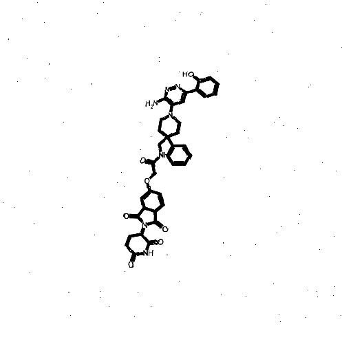 Nc1nnc(-c2ccccc2O)cc1N1CCC(CNC(=O)COC2=CC3C(=O)N(C4CCC(=O)NC4=O)C(=O)C3C=C2)(c2ccccc2)CC1